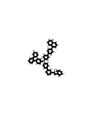 c1ccc(-c2ccccc2-c2ccc(N(c3ccc(-c4ccc(-c5cccc6ccccc56)cc4)cc3)c3ccc(-c4cccc(-c5cc6ccccc6o5)c4)cc3)cc2)cc1